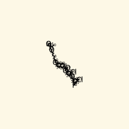 CCC1(COCCCCCCOc2ccc3cc(C(=O)Oc4ccc(OCc5cc(F)cc(Cl)c5)c(Cl)c4)ccc3c2)COC1